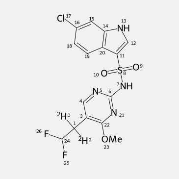 [2H]C([2H])(c1cnc(NS(=O)(=O)c2c[nH]c3cc(Cl)ccc23)nc1OC)C(F)F